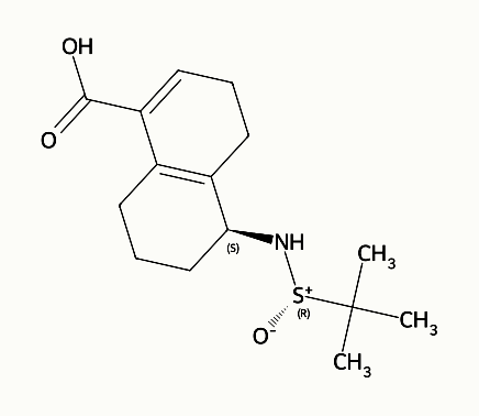 CC(C)(C)[S@+]([O-])N[C@H]1CCCC2=C1CCC=C2C(=O)O